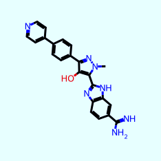 Cn1nc(-c2ccc(-c3ccncc3)cc2)c(O)c1-c1nc2ccc(C(=N)N)cc2[nH]1